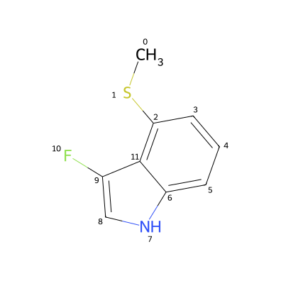 CSc1cccc2[nH]cc(F)c12